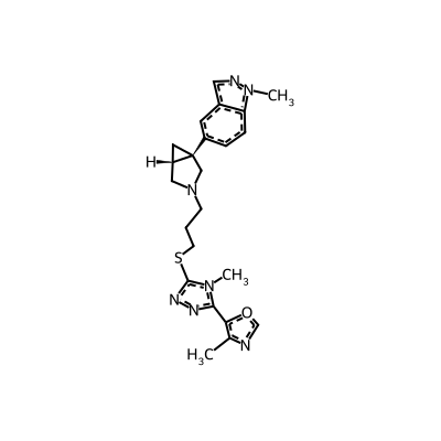 Cc1ncoc1-c1nnc(SCCCN2C[C@@H]3C[C@]3(c3ccc4c(cnn4C)c3)C2)n1C